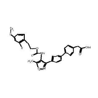 COc1ccc(CCOC(=O)Nc2c(-c3ccc(-c4ccc(CC(=O)O)cc4)cc3)noc2C)c(F)c1